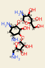 NC[C@H]1O[C@@H](OC2C(O)[C@H](O[C@H]3OC(CO)[C@@H](O)C(O)C3N)C(N)C[C@H]2N)[C@@H](O)C1O